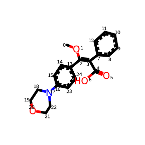 COC(=C(C(=O)O)c1ccccc1)c1ccc(N2CCOCC2)cc1